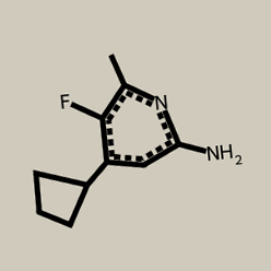 Cc1nc(N)cc(C2CCC2)c1F